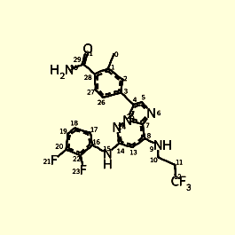 Cc1cc(-c2cnc3c(NCCC(F)(F)F)cc(Nc4cccc(F)c4F)nn23)ccc1C(N)=O